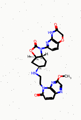 COc1cnc2ccc(=O)n(CCN[C@@H]3CC[C@@H]4[C@@H](C3)OC(=O)N4c3ccc4c(n3)NC(=O)CO4)c2n1